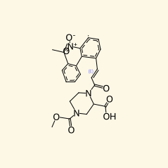 COC(=O)N1CCN(C(=O)/C=C/c2cc[c]c([N+](=O)[O-])c2-c2ccccc2C(C)C)C(C(=O)O)C1